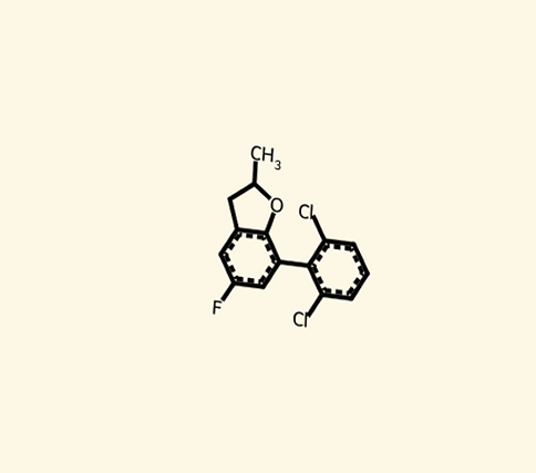 CC1Cc2cc(F)cc(-c3c(Cl)cccc3Cl)c2O1